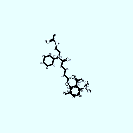 CC(=O)OCCN(C(=O)CCCCOc1c(C)ccc([N+](=O)[O-])c1C(C)=O)C1CCCCC1